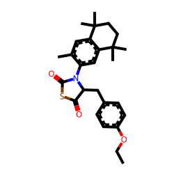 CCOc1ccc(CC2C(=O)SC(=O)N2c2cc3c(cc2C)C(C)(C)CCC3(C)C)cc1